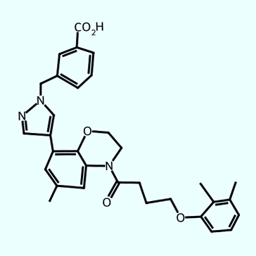 Cc1cc(-c2cnn(Cc3cccc(C(=O)O)c3)c2)c2c(c1)N(C(=O)CCCOc1cccc(C)c1C)CCO2